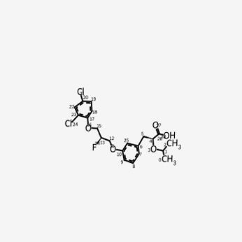 CC(C)O[C@@H](Cc1cccc(OC[C@@H](F)COc2ccc(Cl)cc2Cl)c1)C(=O)O